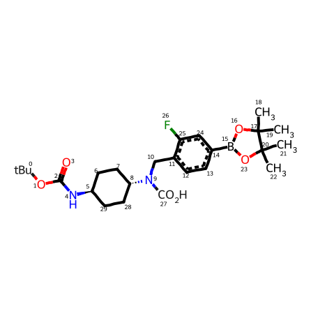 CC(C)(C)OC(=O)N[C@H]1CC[C@H](N(Cc2ccc(B3OC(C)(C)C(C)(C)O3)cc2F)C(=O)O)CC1